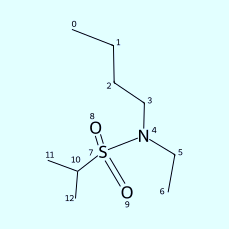 CCCCN(CC)S(=O)(=O)C(C)C